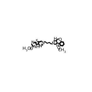 COC1=CN=c2sc3c(c2N1)N=CN(CCCCN1C[C@H]2COc4cccc(OC)c4[C@@H]2C1)C=3